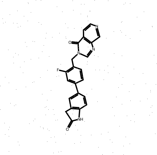 O=C1Cc2cc(-c3ccc(Cn4cnc5cnccc5c4=O)c(F)c3)ccc2N1